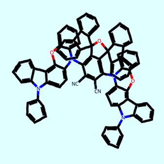 N#Cc1c(C#N)c(N2c3ccccc3Oc3c2ccc2c3c3ccccc3n2-c2ccccc2)c2c(c1N1c3ccccc3Oc3c1ccc1c3c3ccccc3n1-c1ccccc1)C1(OC23c2ccccc2-c2ccccc23)c2ccccc2-c2ccccc21